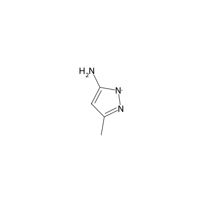 CC1=N[N]C(N)=C1